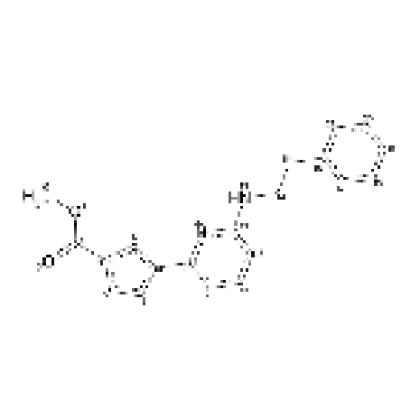 COC(=O)c1ccc(-c2cccc(NCCc3ccccc3)n2)s1